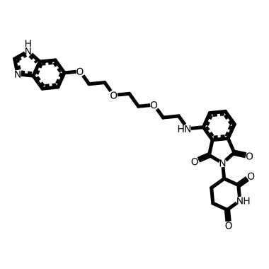 O=C1CCC(N2C(=O)c3cccc(NCCOCCOCCOc4ccc5nc[nH]c5c4)c3C2=O)C(=O)N1